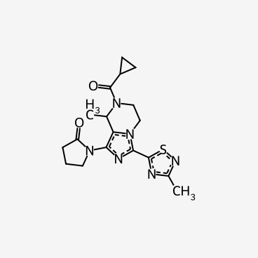 Cc1nsc(-c2nc(N3CCCC3=O)c3n2CCN(C(=O)C2CC2)C3C)n1